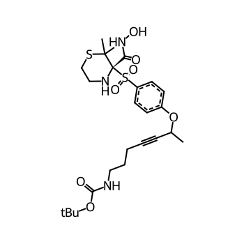 CC(C#CCCCNC(=O)OC(C)(C)C)Oc1ccc(S(=O)(=O)[C@]2(C(=O)NO)NCCSC2(C)C)cc1